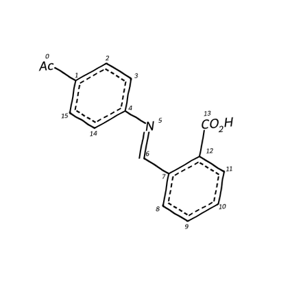 CC(=O)c1ccc(N=Cc2ccccc2C(=O)O)cc1